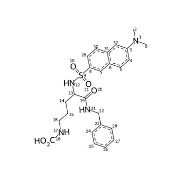 CN(C)c1ccc2cc(S(=O)(=O)NC(CCCNC(=O)O)C(=O)NCc3ccccc3)ccc2c1